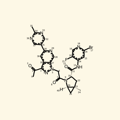 CC(=O)c1nn(CC(=O)N2[C@H](C(=O)Nc3cc(Br)ncc3F)C[C@@]3(C)C[C@@H]23)c2cnc(-c3cnc(C)nc3)cc12